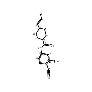 CC=CC1CCC(C(=O)Oc2ccc(C#N)c(F)c2)CC1